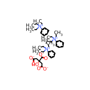 CC[N+](CC)(CC)c1ccccc1.CC[N+](CC)(CC)c1ccccc1.CC[N+](CC)(CC)c1ccccc1.O=C([O-])CC(O)(CC(=O)[O-])C(=O)[O-]